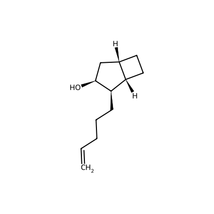 C=CCCC[C@@H]1[C@H]2CC[C@H]2C[C@@H]1O